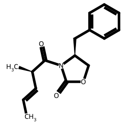 C/C=C/[C@@H](C)C(=O)N1C(=O)OC[C@@H]1Cc1ccccc1